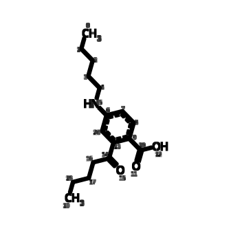 CCCCCNc1ccc(C(=O)O)c(C(=O)CCCC)c1